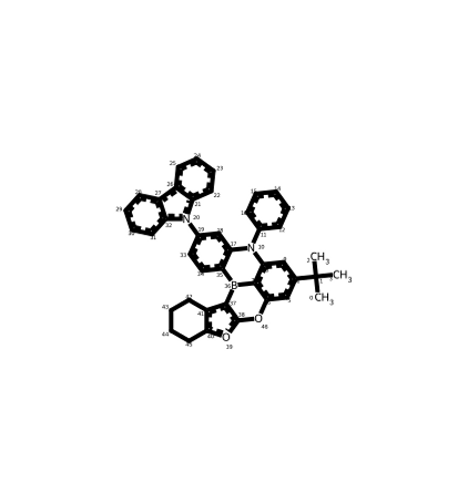 CC(C)(C)c1cc2c3c(c1)N(c1ccccc1)c1cc(-n4c5ccccc5c5ccccc54)ccc1B3c1c(oc3c1CCCC3)O2